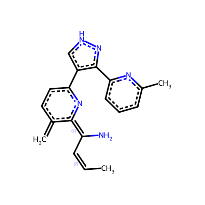 C=c1ccc(-c2c[nH]nc2-c2cccc(C)n2)n/c1=C(N)/C=C\C